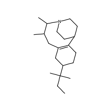 CCC(C)(C)C1CCC2=C(CC(C)C(C)N3CCC2CC3)C1